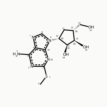 CSc1nc(N)c2ncn([C@@H]3C[C@H](CO)[C@@H](O)[C@H]3O)c2n1